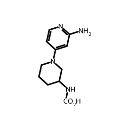 Nc1cc(N2CCCC(NC(=O)O)C2)ccn1